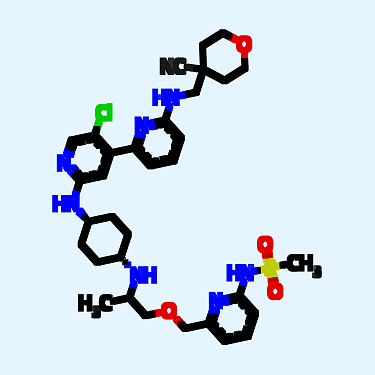 CC(COCc1cccc(NS(C)(=O)=O)n1)N[C@H]1CC[C@H](Nc2cc(-c3cccc(NCC4(C#N)CCOCC4)n3)c(Cl)cn2)CC1